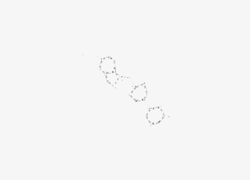 O=C(O)c1ccc2c(cnn2Cc2ccc(-c3ccccc3)cc2)c1